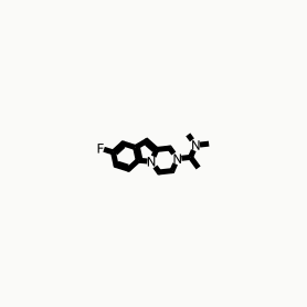 CC(N(C)C)N1CCn2c(cc3cc(F)ccc32)C1